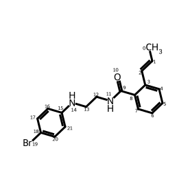 CC=Cc1ccccc1C(=O)NCCNc1ccc(Br)cc1